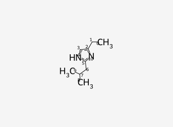 CCc1c[nH]c(CC(C)C)n1